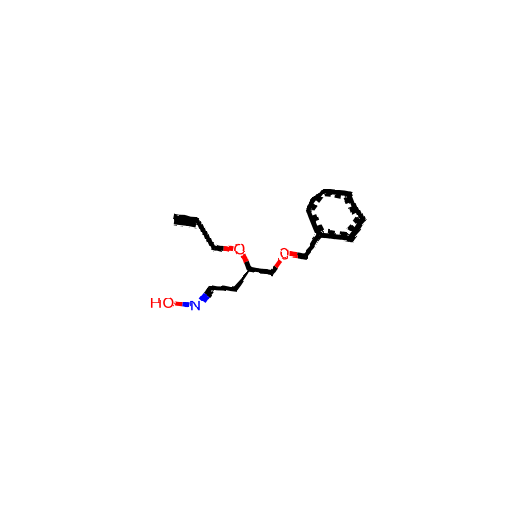 C=CCO[C@H](C/C=N/O)COCc1ccccc1